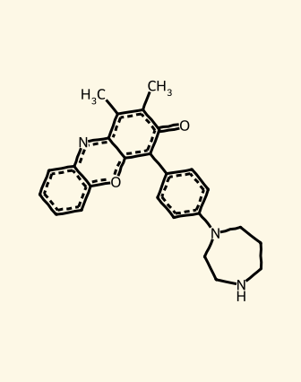 Cc1c2nc3ccccc3oc-2c(-c2ccc(N3CCCNCC3)cc2)c(=O)c1C